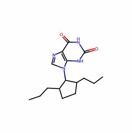 CCCC1CCC(CCC)C1n1cnc2c(=O)[nH]c(=O)[nH]c21